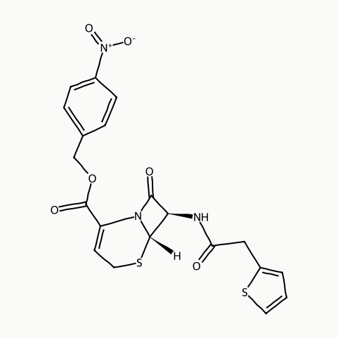 O=C(Cc1cccs1)N[C@@H]1C(=O)N2C(C(=O)OCc3ccc([N+](=O)[O-])cc3)=CCS[C@@H]12